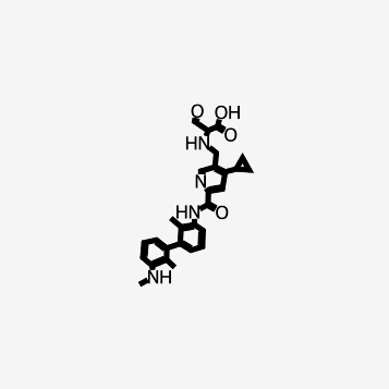 CNc1cccc(-c2cccc(NC(=O)c3cc(C4CC4)c(CNC(C=O)C(=O)O)cn3)c2C)c1C